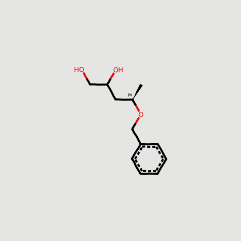 C[C@H](CC(O)CO)OCc1ccccc1